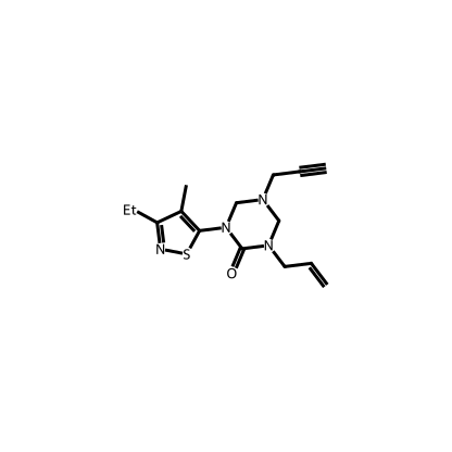 C#CCN1CN(CC=C)C(=O)N(c2snc(CC)c2C)C1